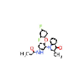 C=CC(=O)Nc1ccc(Oc2ccc(F)cc2F)c(-n2cc(C)c(=O)c3ccccc32)c1